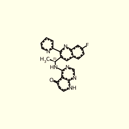 C[C@H](Nc1ncnc2[nH]ccc(=O)c12)c1cc2ccc(F)cc2nc1-c1ccccn1